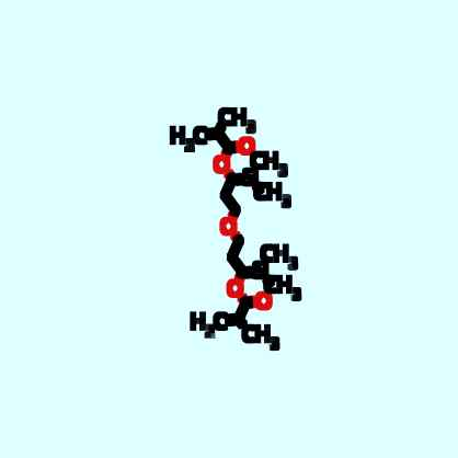 C=C(C)C(=O)OC(CCOCCC(OC(=O)C(=C)C)=[Si](C)C)=[Si](C)C